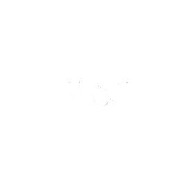 CSc1ncc(C(F)(F)F)c(-c2ccn(C(F)F)n2)n1